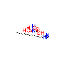 CCCCCCCCCCCCCCCCCn1ccnc1.O.O=C(O)CNCCO